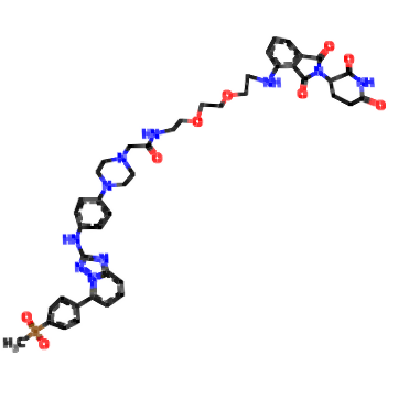 CS(=O)(=O)c1ccc(-c2cccc3nc(Nc4ccc(N5CCN(CC(=O)NCCOCCOCCNc6cccc7c6C(=O)N(C6CCC(=O)NC6=O)C7=O)CC5)cc4)nn23)cc1